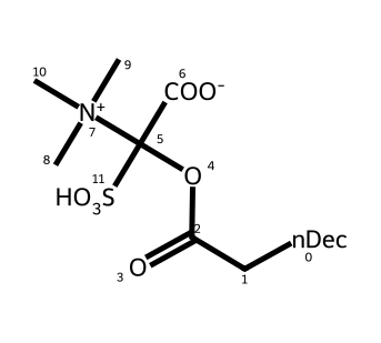 CCCCCCCCCCCC(=O)OC(C(=O)[O-])([N+](C)(C)C)S(=O)(=O)O